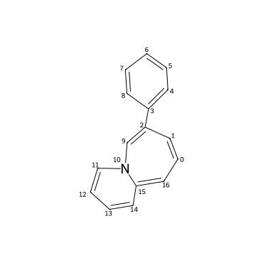 C1=CC(c2ccccc2)=CN2C=CC=CC2=C1